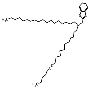 CCCCCCCCCCCCCCCCCCN(CCCCCCCCCCCCCCCCCC)Sc1nc2ccccc2s1